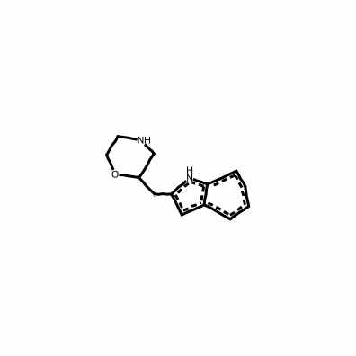 [CH](c1cc2ccccc2[nH]1)C1CNCCO1